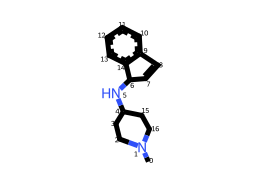 CN1CCC(NC2C=Cc3ccccc32)CC1